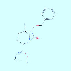 CN/N=C(\ON)[C@@H]1CC[C@H]2CN1C(=O)N2OCc1ccccc1